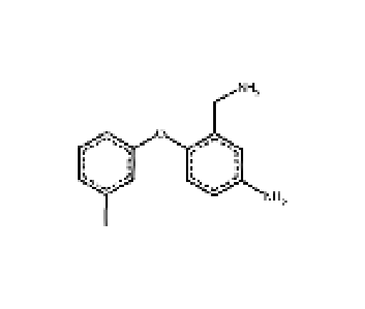 Cc1cccc(Oc2ccc(N)cc2CN)c1